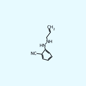 C=CCNNc1ccccc1C#N